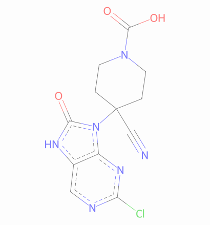 N#CC1(n2c(=O)[nH]c3cnc(Cl)nc32)CCN(C(=O)O)CC1